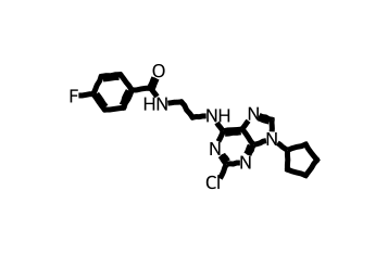 O=C(NCCNc1nc(Cl)nc2c1ncn2C1CCCC1)c1ccc(F)cc1